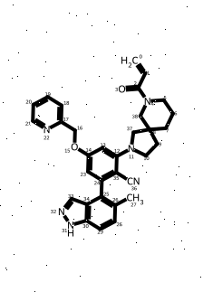 C=CC(=O)N1CCCC2(CCN(c3cc(OCc4ccccn4)cc(-c4c(C)ccc5[nH]ncc45)c3C#N)C2)C1